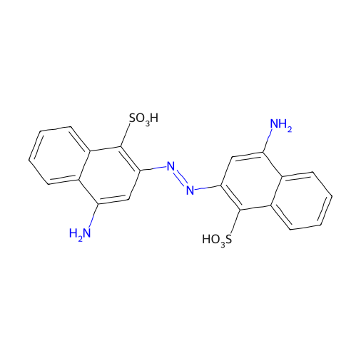 Nc1cc(N=Nc2cc(N)c3ccccc3c2S(=O)(=O)O)c(S(=O)(=O)O)c2ccccc12